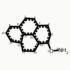 NOc1ccc2ccc3cccc4ccc1c2c34